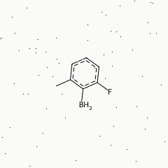 Bc1c(C)cccc1F